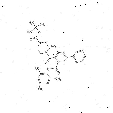 Cc1cc(C)c(NC(=O)c2cc(-c3ccccc3)cc(O)c2C(=O)N2CCN(C(=O)OC(C)(C)C)CC2)c(C)c1